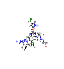 Cc1cc(N)nc(-c2c(Cl)cc3c(N4CCN(C=CC=O)C[C@@H]4C)nc(OC[C@@H]4C[C@@H](CF)CN4)nc3c2F)c1C